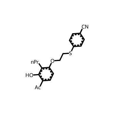 CCCc1c(OCCSc2ccc(C#N)cc2)ccc(C(C)=O)c1O